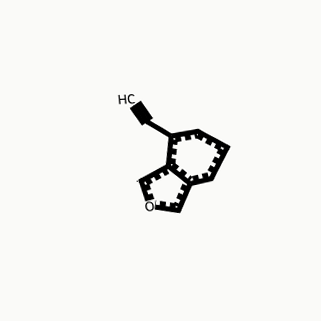 C#Cc1cccc2co[c]c12